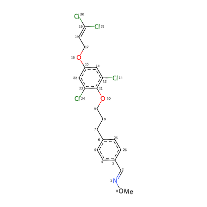 CON=Cc1ccc(CCCOc2c(Cl)cc(OCC=C(Cl)Cl)cc2Cl)cc1